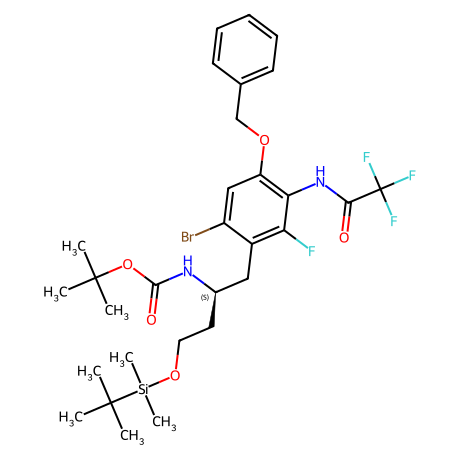 CC(C)(C)OC(=O)N[C@H](CCO[Si](C)(C)C(C)(C)C)Cc1c(Br)cc(OCc2ccccc2)c(NC(=O)C(F)(F)F)c1F